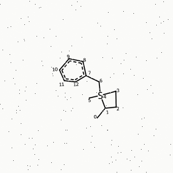 CC1CCS1(C)Cc1ccccc1